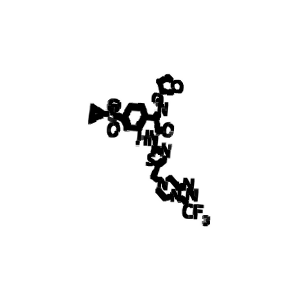 O=C(Nc1ncc(CN2CCn3c(nnc3C(F)(F)F)C2)s1)/C(=N/O[C@@H]1CCOC1)c1ccc(S(=O)(=O)C2CC2)cc1